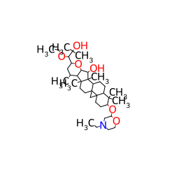 CCOC(C1CC(C)C2C(O1)C(O)C1(C)C3CCC4C(C)(C)C(OC5CN(CC)CCO5)CCC45CC35CCC21C)C(C)(C)O